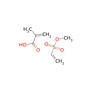 C=C(C)C(=O)O.C=CS(=O)(=O)OC